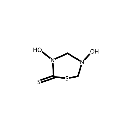 ON1CSC(=S)N(O)C1